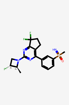 C[C@H]1[C@H](F)CN1c1nc(-c2cccc(S(C)(=N)=O)c2)c2c(n1)C(F)(F)CC2